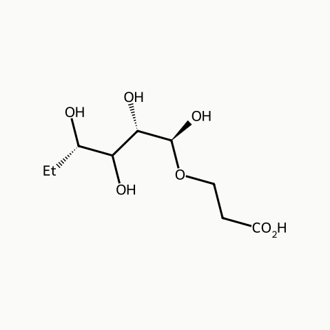 CC[C@H](O)C(O)[C@H](O)[C@@H](O)OCCC(=O)O